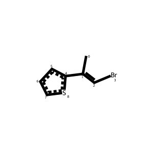 C/C(=C\Br)c1cccs1